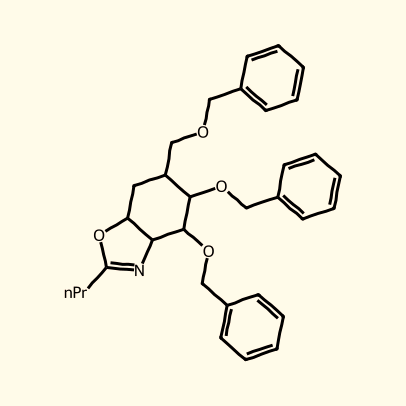 CCCC1=NC2C(CC(COCc3ccccc3)C(OCc3ccccc3)C2OCc2ccccc2)O1